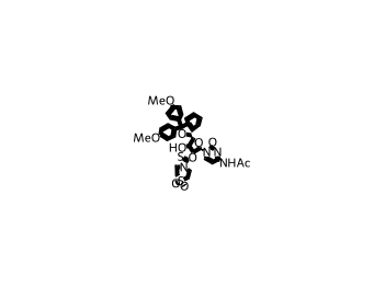 COc1ccc(C(OC[C@H]2O[C@@H](n3ccc(NC(C)=O)nc3=O)C(OC(=S)N3CCS(=O)(=O)CC3)C2O)(c2ccccc2)c2ccc(OC)cc2)cc1